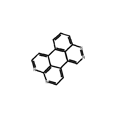 [c]1ccc2nncc3c4ccnc5nccc(c1c23)c54